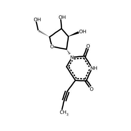 CC#Cc1cn([C@@H]2O[C@H](CO)C(O)[C@H]2O)c(=O)[nH]c1=O